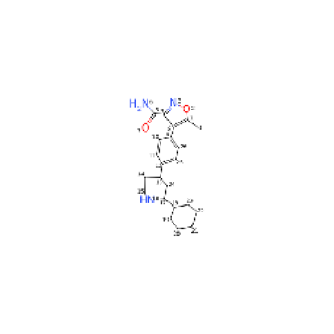 Cc1onc(C(N)=O)c1-c1ccc(C2CCNC(C3CCCCC3)C2)cc1